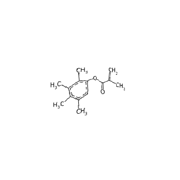 C=C(C)C(=O)Oc1cc(C)c(C)c(C)c1C